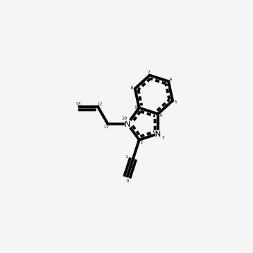 C#Cc1nc2ccccc2n1CC=C